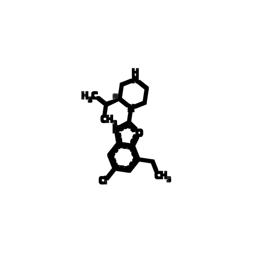 CCc1cc(Cl)cc2nc(N3CCNC[C@@H]3C(C)C)oc12